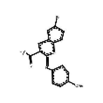 COc1ccc(/N=c2\oc3ccc(Br)cc3cc2C(C)=S)cc1